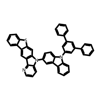 c1ccc(-c2cc(-c3ccccc3)cc(-n3c4ccccc4c4cc(-n5c6cc7sc8ccccc8c7cc6c6ncccc65)ccc43)c2)cc1